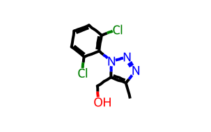 Cc1nnn(-c2c(Cl)cccc2Cl)c1CO